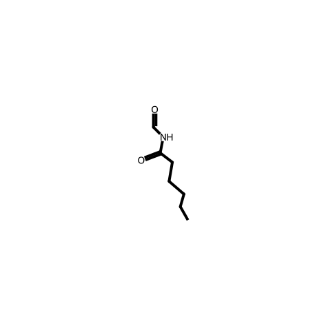 CCCCCC(=O)NC=O